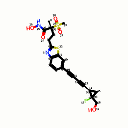 C[C@@](CCc1nc2ccc(C#CC#C[C@H]3C[C@]3(F)CO)cc2s1)(C(=O)NO)S(C)(=O)=O